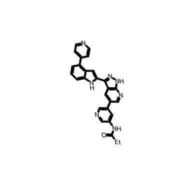 CCC(=O)Nc1cncc(-c2cnc3[nH]nc(-c4cc5c(-c6ccncc6)cccc5[nH]4)c3c2)c1